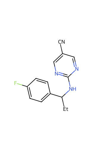 CCC(Nc1ncc(C#N)cn1)c1ccc(F)cc1